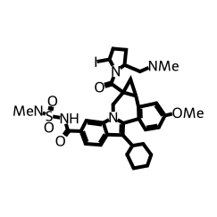 CNCC1CCC(I)N1C(=O)C12CC1c1cc(OC)ccc1-c1c(C3CCCCC3)c3ccc(C(=O)NS(=O)(=O)NC)cc3n1C2